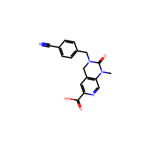 CN1C(=O)N(Cc2ccc(C#N)cc2)Cc2cc(C(=O)O)ncc21